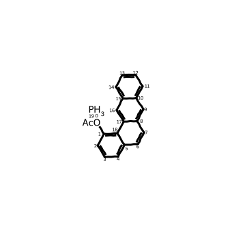 CC(=O)Oc1cccc2ccc3cc4ccccc4cc3c12.P